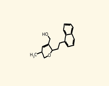 CC1C=C(CO)C(CCc2cccc3ccccc23)OC1